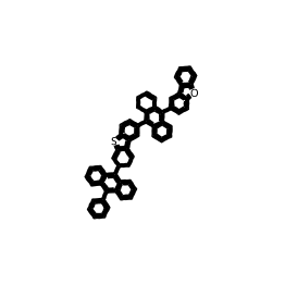 C1=Cc2c(c(-c3ccc4sc5c(c4c3)=CCC(c3c4ccccc4c(-c4ccccc4)c4ccccc34)C=5)c3ccccc3c2-c2ccc3oc4ccccc4c3c2)CC1